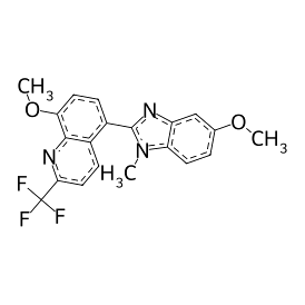 COc1ccc2c(c1)nc(-c1ccc(OC)c3nc(C(F)(F)F)ccc13)n2C